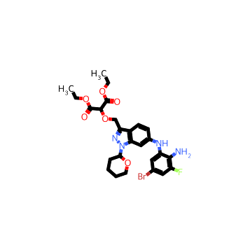 CCOC(=O)C(OCc1nn(C2CCCCO2)c2cc(Nc3cc(Br)cc(F)c3N)ccc12)C(=O)OCC